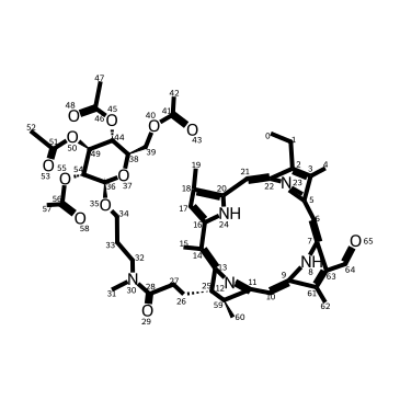 CCC1=C(C)c2cc3[nH]c(cc4nc(c(C)c5cc(C)c(cc1n2)[nH]5)[C@@H](CCC(=O)N(C)CCCO[C@@H]1O[C@H](COC(C)=O)[C@@H](OC(C)=O)[C@H](OC(C)=O)[C@H]1OC(C)=O)[C@@H]4C)c(C)c3C=O